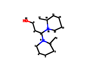 CC1CCCCN1C(CCO)N1CCCCC1C